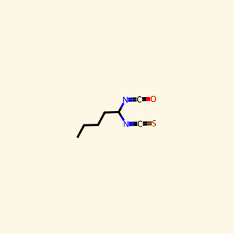 CCCCC(N=C=O)N=C=S